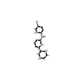 Fc1ccc(Nc2cccc(-c3cnccn3)n2)nc1